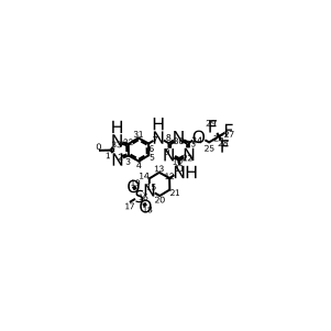 Cc1nc2ccc(Nc3nc(NC4CCN(S(C)(=O)=O)CC4)nc(OCC(F)(F)F)n3)cc2[nH]1